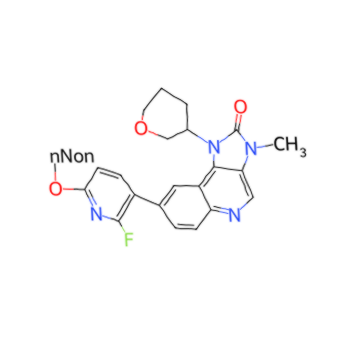 CCCCCCCCCOc1ccc(-c2ccc3ncc4c(c3c2)n(C2CCCOC2)c(=O)n4C)c(F)n1